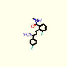 CNC(=O)c1cccc(F)c1C/C=C(\N)c1ccc(F)cc1